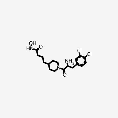 NC(Cc1ccc(Cl)c(Cl)c1)C(=O)N1CCC(CCCC(=O)NO)CC1